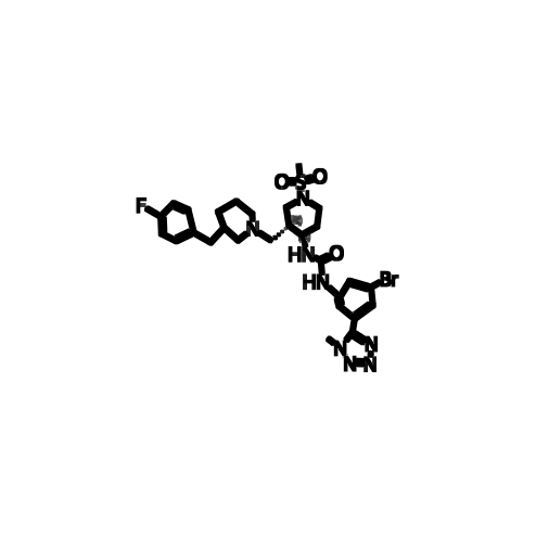 Cn1nnnc1-c1cc(Br)cc(NC(=O)N[C@@H]2CCN(S(C)(=O)=O)C[C@H]2CN2CCCC(Cc3ccc(F)cc3)C2)c1